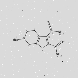 CC(C)(C)C1CCc2c(sc(C(N)=O)c2C(N)=O)C1